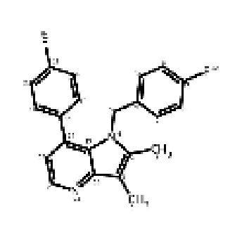 Cc1c(C)n(Cc2ccc(F)cc2)c2c(-c3ccc(F)cc3)ccnc12